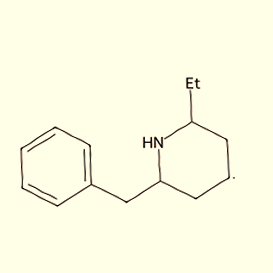 CCC1C[CH]CC(Cc2ccccc2)N1